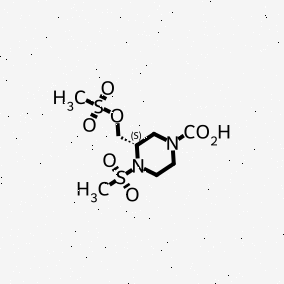 CS(=O)(=O)OC[C@@H]1CN(C(=O)O)CCN1S(C)(=O)=O